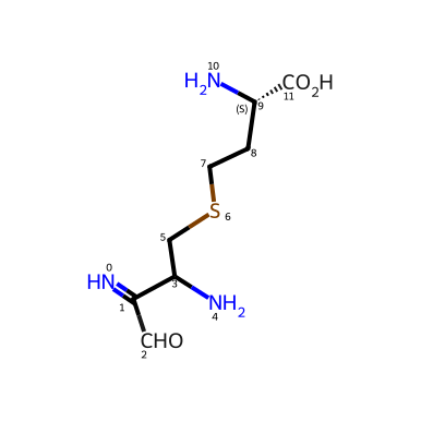 N=C(C=O)C(N)CSCC[C@H](N)C(=O)O